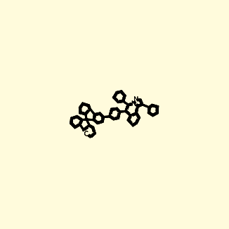 c1ccc(-c2cnn3c(-c4ccccc4)c(-c4ccc(-c5ccc6c(c5)-c5ccccc5C65c6ccccc6-c6ccccc65)cc4)c4ccccc4c23)cc1